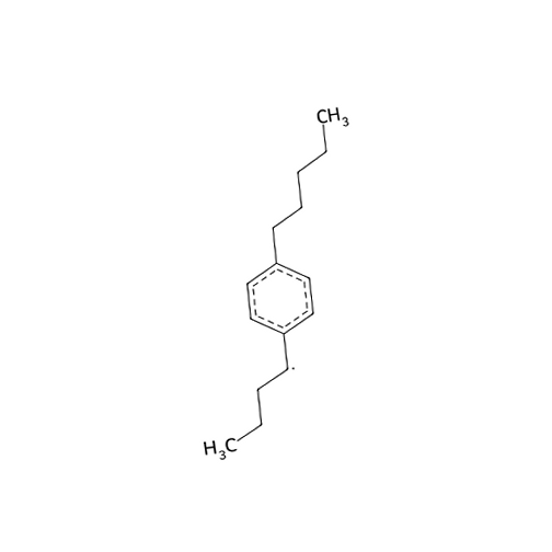 CCC[CH]c1ccc(CCCCC)cc1